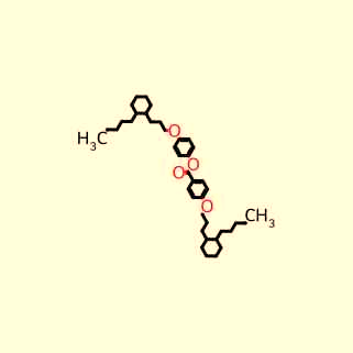 CCCCCC1CCCCC1CCCOc1ccc(OC(=O)c2ccc(OCCCC3CCCCC3CCCCC)cc2)cc1